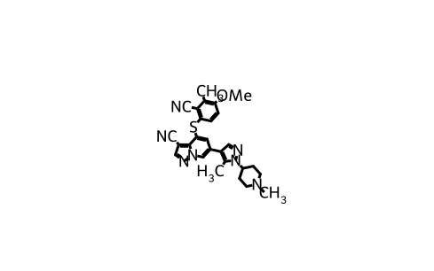 COc1ccc(Sc2cc(-c3cnn(C4CCN(C)CC4)c3C)cn3ncc(C#N)c23)c(C#N)c1C